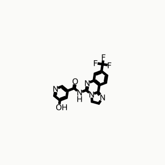 O=C(NC1=Nc2cc(C(F)(F)F)ccc2C2=NCCN12)c1cncc(O)c1